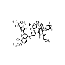 C=C[C@@H]1C[C@]1(NC(=O)[C@@H]1C[C@@H](Oc2cc(-c3nc(NC(C)C)sc3C)nc3c(Cl)c(OC)ccc23)CN1C(=O)[C@@H](NC(=O)O[C@@H]1C[C@@H]2C[C@@H]2C1)C(C)(C)C)C(=O)O